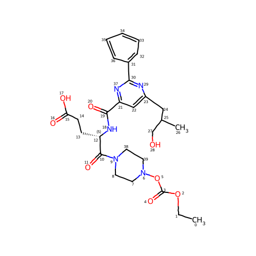 CCOC(=O)ON1CCN(C(=O)[C@H](CCC(=O)O)NC(=O)c2cc(CC(C)CO)nc(-c3ccccc3)n2)CC1